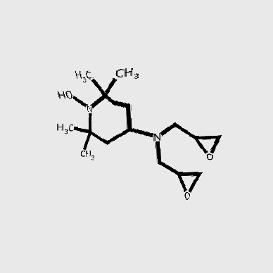 CC1(C)CC(N(CC2CO2)CC2CO2)CC(C)(C)N1O